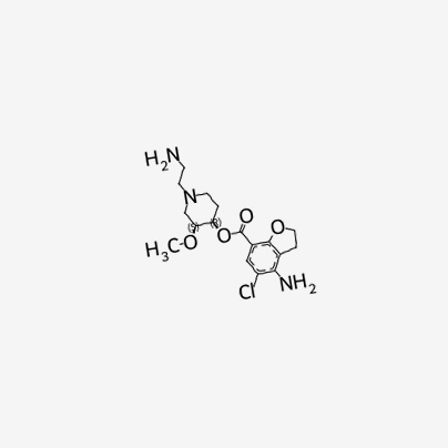 CO[C@H]1CN(CCN)CC[C@H]1OC(=O)c1cc(Cl)c(N)c2c1OCC2